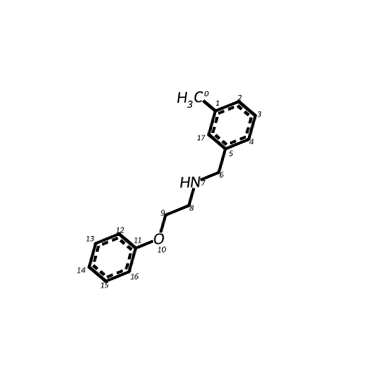 Cc1cccc(CNCCOc2ccccc2)c1